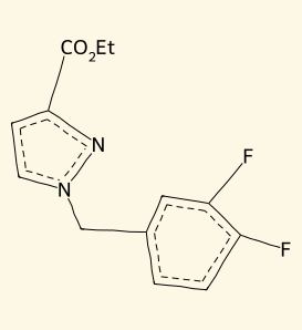 CCOC(=O)c1ccn(Cc2ccc(F)c(F)c2)n1